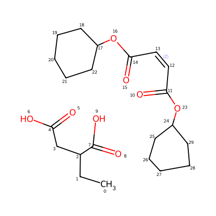 CCC(CC(=O)O)C(=O)O.O=C(/C=C\C(=O)OC1CCCCC1)OC1CCCCC1